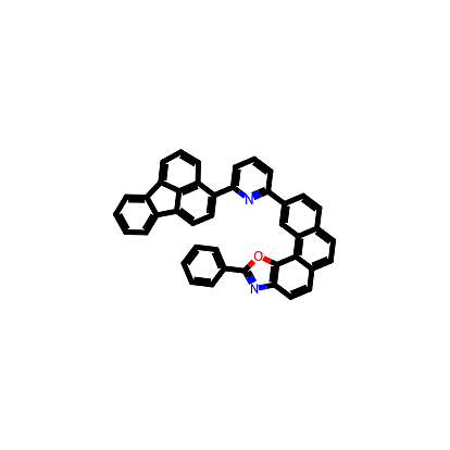 c1ccc(-c2nc3ccc4ccc5ccc(-c6cccc(-c7ccc8c9c(cccc79)-c7ccccc7-8)n6)cc5c4c3o2)cc1